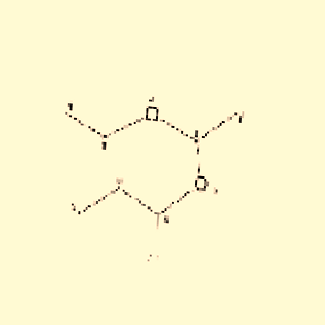 [CH2]C(OCC)OC(C)CC